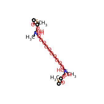 CCCN(CC(O)COCCOCCOCCOCCOCCOCCOCCOCCOCCOCC(O)N(CCC)CC(O)COc1cc(C)c2sc3ccccc3c(=O)c2c1)CC(O)COc1cc(C)c2sc3ccccc3c(=O)c2c1